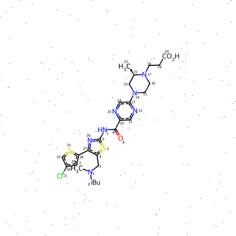 CCC(C)N(C)Cc1sc(NC(=O)c2cnc(N3CCN(CCC(=O)O)[C@H](C)C3)cn2)nc1-c1cc(Cl)cs1